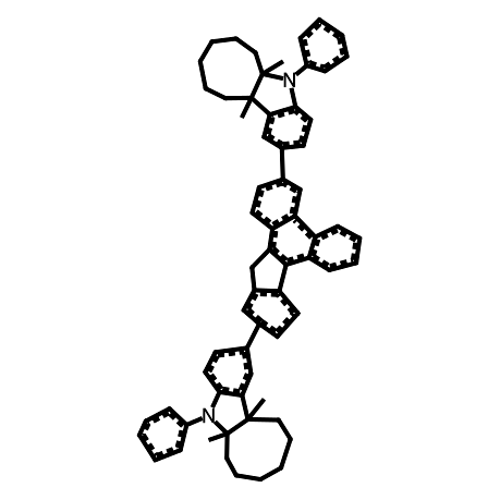 CC12CCCCCCC1(C)N(c1ccccc1)c1ccc(-c3ccc4c(c3)Cc3c-4c4ccccc4c4cc(-c5ccc6c(c5)C5(C)CCCCCCC5(C)N6c5ccccc5)ccc34)cc12